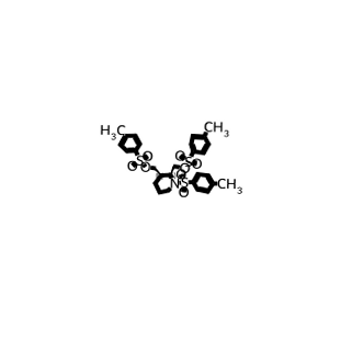 Cc1ccc(S(=O)(=O)OC[C@@H]2CCCN(S(=O)(=O)c3ccc(C)cc3)[C@@H]2COS(=O)(=O)c2ccc(C)cc2)cc1